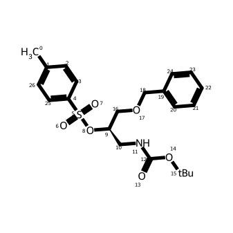 Cc1ccc(S(=O)(=O)O[C@H](CNC(=O)OC(C)(C)C)COCc2ccccc2)cc1